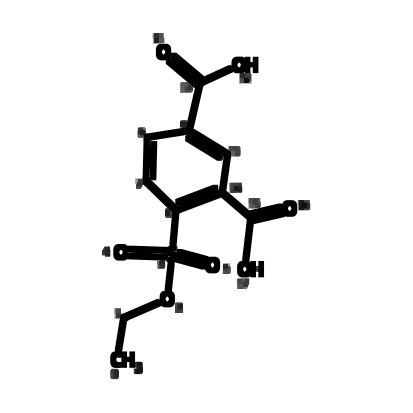 CCOS(=O)(=O)c1ccc(C(=O)O)cc1C(=O)O